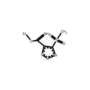 CCOC(=N)c1snnc1S(C)(=O)=O